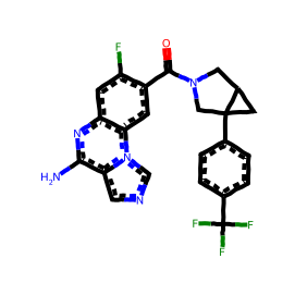 Nc1nc2cc(F)c(C(=O)N3CC4CC4(c4ccc(C(F)(F)F)cc4)C3)cc2n2cncc12